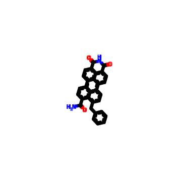 NC(=O)c1ccc2c3ccc4c5c(ccc(c6ccc(Cc7ccccc7)c1c62)c53)C(=O)NC4=O